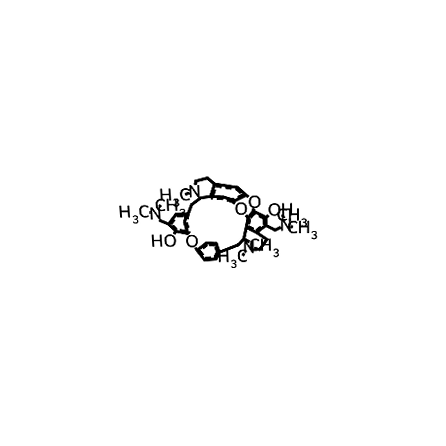 CN(C)Cc1cc2cc(c1O)Oc1ccc(cc1)CC1(C)c3c(c(CN(C)C)c(O)c4c3Oc3cc5c(cc3O4)CCN(C)C5C2)CCN1C